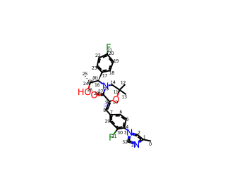 Cc1cn(-c2ccc(/C=C3\OC(C)(C)CN([C@H](c4ccc(F)cc4)[C@@H](C)O)C3=O)cc2F)cn1